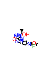 CC(C)OC1(F)CN([C@H]2CC[C@](CC#N)(n3cc(C(N)=O)c(NC(O)C4CC4)n3)CC2)C1